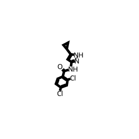 O=C(Nc1cc(C2CC2)[nH]n1)c1ccc(Cl)cc1Cl